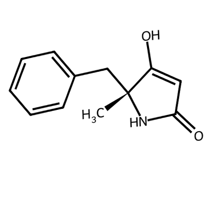 C[C@]1(Cc2ccccc2)NC(=O)C=C1O